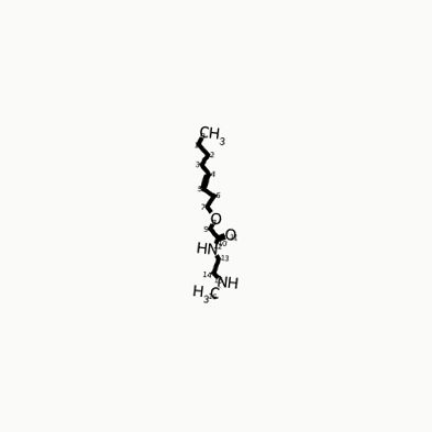 CCCC/C=C/CCOCC(=O)NCCNC